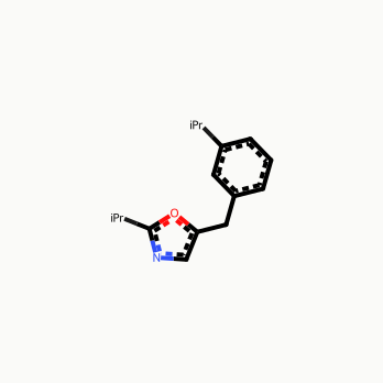 CC(C)c1cccc(Cc2cnc(C(C)C)o2)c1